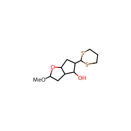 COC1CC2C(CC(C3SCCCS3)C2O)O1